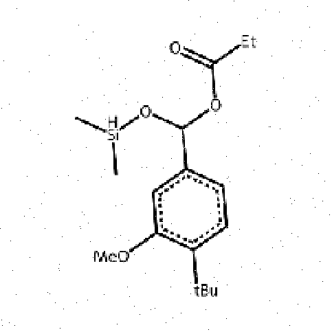 CCC(=O)OC(O[SiH](C)C)c1ccc(C(C)(C)C)c(OC)c1